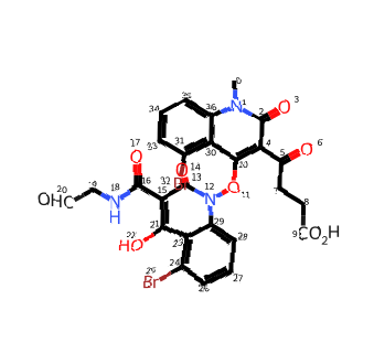 Cn1c(=O)c(C(=O)CCC(=O)O)c(On2c(=O)c(C(=O)NCC=O)c(O)c3c(Br)cccc32)c2c(Br)cccc21